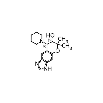 CC1(C)Oc2cc3[nH]cnc3cc2[C@@H](N2CCCCC2)[C@@H]1O